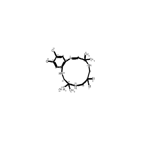 CCC1(CC)CNC(C)(C)C=Nc2cc(Cl)c(Cl)cc2NCC(C)(C)NC1.[Fe]